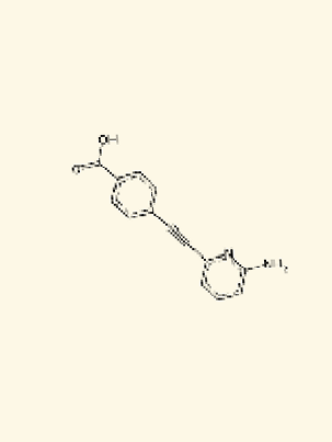 Nc1cccc(C#Cc2ccc(C(=O)O)cc2)n1